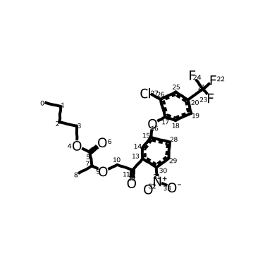 CCCCOC(=O)C(C)OCC(=O)c1cc(Oc2ccc(C(F)(F)F)cc2Cl)ccc1[N+](=O)[O-]